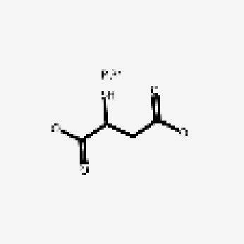 O=C([O-])CC(S)C(=O)[O-].[Pt+2]